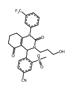 CS(=O)(=O)c1cc(C#N)ccc1C1C2=C(CCCC2=O)N(c2cccc(C(F)(F)F)c2)C(=O)N1CCCO